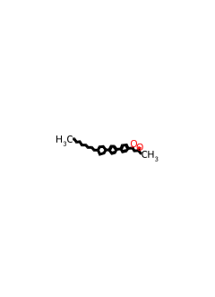 CCCCCCCCCC1CCC(c2ccc(-c3ccc(C(=O)CC(=O)CC)cc3)cc2)CC1